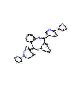 c1cncc(-c2ccc(/C3=N/c4ccccc4/C(c4ccc(-c5cccnc5)nc4)=N\c4ccccc43)cn2)c1